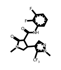 CN1CC(c2cnn(C)c2C(F)(F)F)C(C(=O)Nc2cccc(F)c2F)C1=O